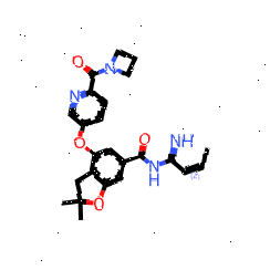 C/C=C\C(=N)NC(=O)c1cc(Oc2ccc(C(=O)N3CCC3)nc2)c2c(c1)OC(C)(C)C2